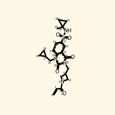 C=CC(=O)N1CC(Cn2c(=O)c3cc(S(=O)(=O)NC4(C)CC4)ccc3n(CC3CC3)c2=O)C1